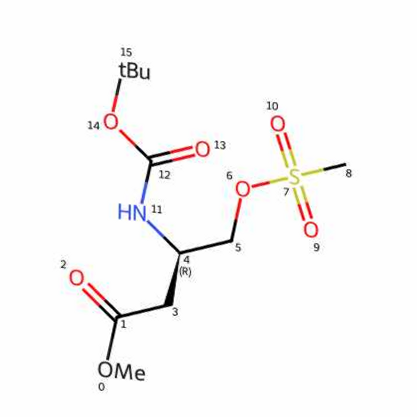 COC(=O)C[C@H](COS(C)(=O)=O)NC(=O)OC(C)(C)C